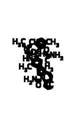 CCN(CC)CC(=O)Nc1c(C)cccc1C.Cc1cccc(C)c1OCC(C)N.NC(=O)N1c2ccccc2C=Cc2ccccc21